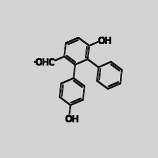 O=[C]c1ccc(O)c(-c2ccccc2)c1-c1ccc(O)cc1